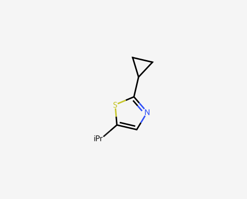 CC(C)c1cnc(C2CC2)s1